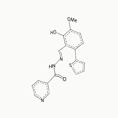 COc1ccc(-c2cccs2)c(/C=N/NC(=O)c2cccnc2)c1O